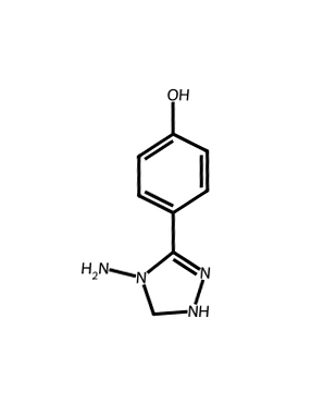 NN1CNN=C1c1ccc(O)cc1